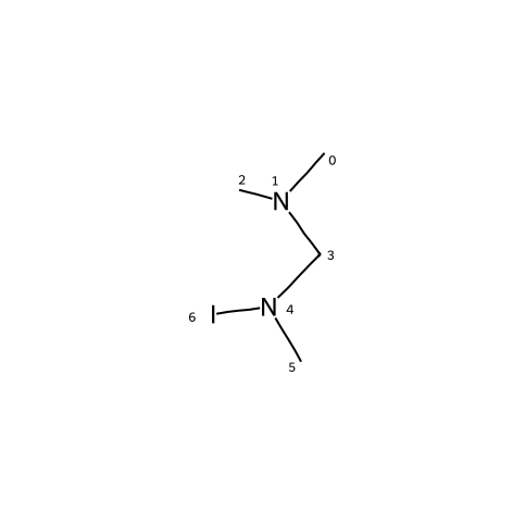 CN(C)CN(C)I